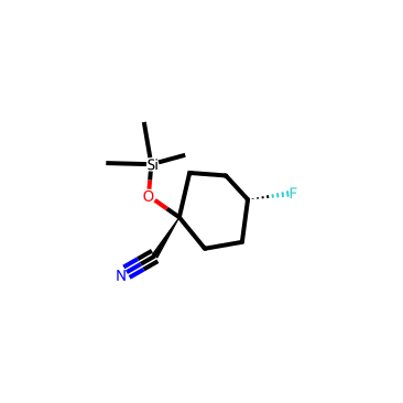 C[Si](C)(C)O[C@]1(C#N)CC[C@H](F)CC1